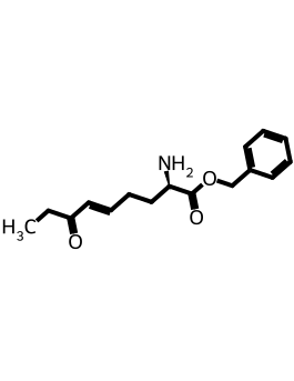 CCC(=O)/C=C/CC[C@@H](N)C(=O)OCc1ccccc1